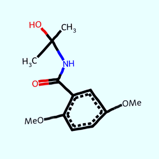 COc1ccc(OC)c(C(=O)NC(C)(C)O)c1